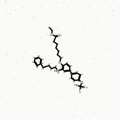 CCOC(=O)CCCCCCOc1ccc(-c2ccc(OC(F)(F)F)cc2)cc1NCCCCc1ccccc1